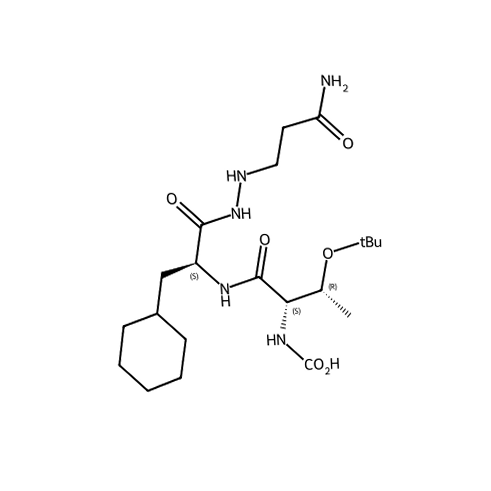 C[C@@H](OC(C)(C)C)[C@H](NC(=O)O)C(=O)N[C@@H](CC1CCCCC1)C(=O)NNCCC(N)=O